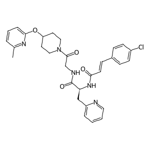 Cc1cccc(OC2CCN(C(=O)CNC(=O)[C@H](Cc3ccccn3)NC(=O)/C=C/c3ccc(Cl)cc3)CC2)n1